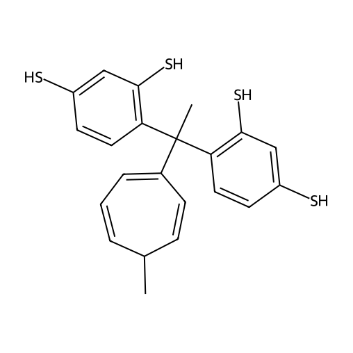 CC1C=CC=C(C(C)(c2ccc(S)cc2S)c2ccc(S)cc2S)C=C1